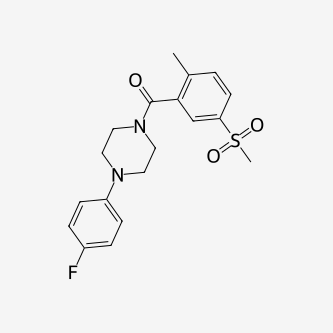 Cc1ccc(S(C)(=O)=O)cc1C(=O)N1CCN(c2ccc(F)cc2)CC1